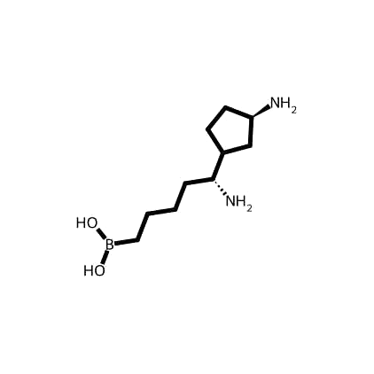 N[C@@H]1CCC([C@H](N)CCCCB(O)O)C1